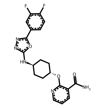 NC(=O)c1cccnc1O[C@H]1CC[C@H](Nc2nnc(-c3ccc(F)c(F)c3)o2)CC1